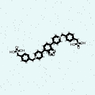 O=P(O)(O)Cc1ccc(C[n+]2ccc(-c3ccc(-c4cc[n+](Cc5ccc(CP(=O)(O)O)cc5)cc4)c4nonc34)cc2)cc1